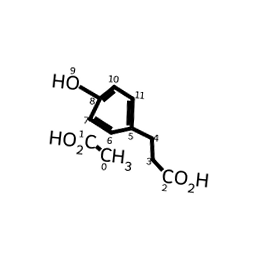 CC(=O)O.O=C(O)CCc1ccc(O)cc1